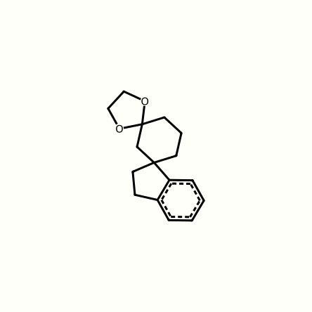 c1ccc2c(c1)CCC21CCCC2(C1)OCCO2